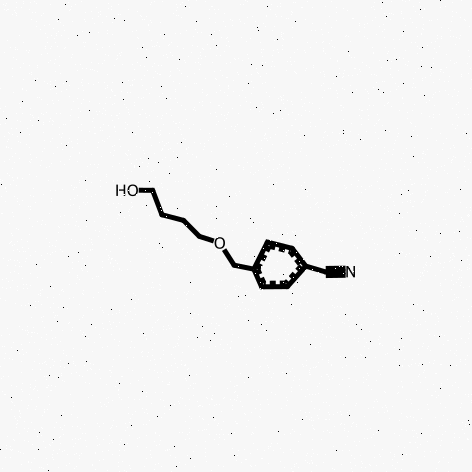 N#Cc1ccc(COCCCCO)cc1